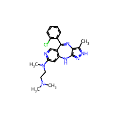 Cc1[nH]nc2c1N=C(c1ccccc1Cl)c1cnc(N(C)CCN(C)C)cc1N2